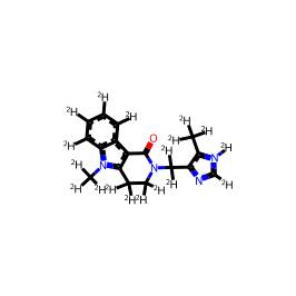 [2H]c1c([2H])c([2H])c2c(c1[2H])c1c(n2C([2H])([2H])[2H])C([2H])([2H])C([2H])([2H])N(C([2H])([2H])c2nc([2H])n([2H])c2C([2H])([2H])[2H])C1=O